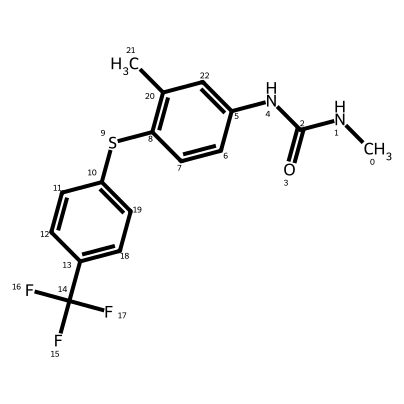 CNC(=O)Nc1ccc(Sc2ccc(C(F)(F)F)cc2)c(C)c1